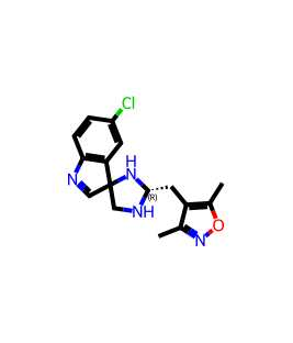 Cc1noc(C)c1C[C@@H]1NCC2(C=Nc3ccc(Cl)cc32)N1